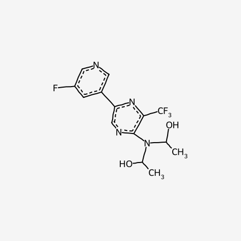 CC(O)N(c1ncc(-c2cncc(F)c2)nc1C(F)(F)F)C(C)O